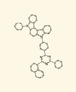 c1ccc(-c2nc(-c3ccc(-n4c5ccccc5c5c6c7ccccc7n(-c7ccccc7)c6ccc54)cc3)nc(-c3cccc4ccccc34)n2)cc1